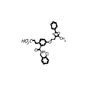 Cc1oc(-c2ccccc2)nc1CCOc1ccc(CCC(=O)O)c(C(=O)NCc2ccccc2Cl)c1